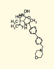 C=C(N[C@H](C(=O)NO)[C@](C)(O)C(=C)F)c1ccc(-c2ccc(CN3CCOCC3)cc2)cc1